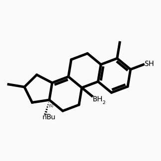 BC12CC[C@@]3(CCCC)CC(C)CC3=C1CCc1c2ccc(S)c1C